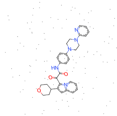 O=C(Nc1ccc(N2CCN(c3ccccn3)CC2)cc1)C(=O)c1c(C2CCOCC2)cc2ccccn12